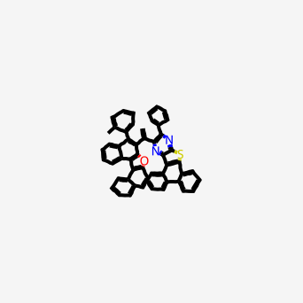 C=C(c1nc2c(nc1-c1ccccc1)sc1c3ccccc3c3ccccc3c21)c1c(-c2ccccc2C)c2ccccc2c2c1oc1ccc3ccccc3c12